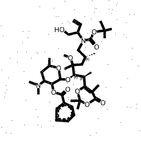 C=CC(CO)N(C[C@H](C)CC(C)(OC)[C@H](OC1OC(C)CC(N(C)C)C1OC(=O)c1ccccc1)[C@@H](C)C1=C(C)C(=O)OC(C)(C)O1)C(=O)OC(C)(C)C